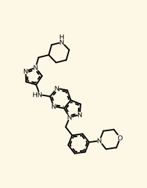 c1cc(Cn2ncc3cnc(Nc4cnn(CC5CCCNC5)c4)nc32)cc(N2CCOCC2)c1